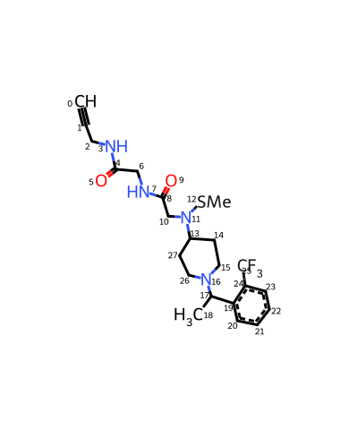 C#CCNC(=O)CNC(=O)CN(SC)C1CCN(C(C)c2ccccc2C(F)(F)F)CC1